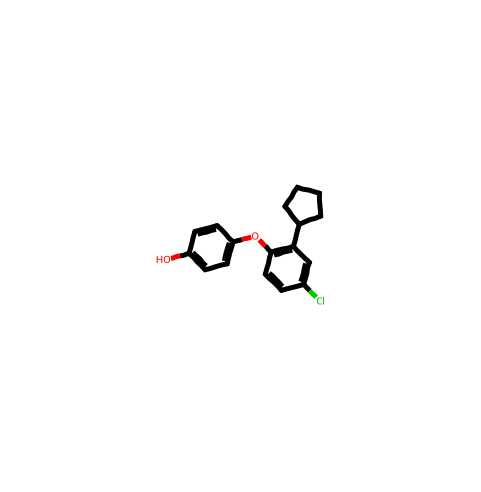 Oc1ccc(Oc2ccc(Cl)cc2C2CCCC2)cc1